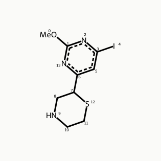 COc1nc(I)cc(C2CNCCS2)n1